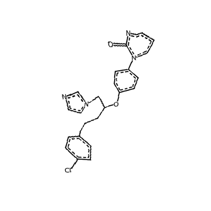 O=c1ncccn1-c1ccc(OC(CCc2ccc(Cl)cc2)Cn2ccnc2)cc1